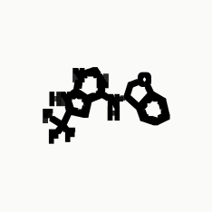 FC(F)(F)c1cc2c(N[C@@H]3COc4ccccc43)ncnc2[nH]1